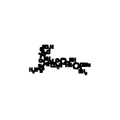 CO[C@]1(CN)CC[C@H](NC(=N)c2ccc3c(c2)CC[C@H]([C@](C)(O/N=C(\C(=O)N[C@@H]2C(=O)N(OS(=O)(=O)O)C2(C)C)c2csc(N)n2)C(=O)O)O3)CC1